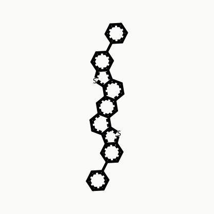 c1ccc(-c2ccc3sc4c5cc6ccc7c8cc(-c9ccccc9)ccc8sc7c6cc5ccc4c3c2)cc1